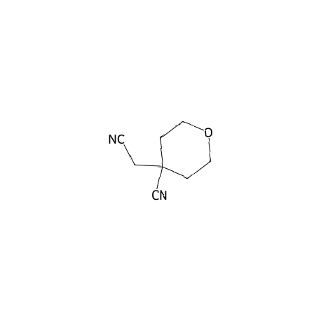 N#CCC1(C#N)CCOCC1